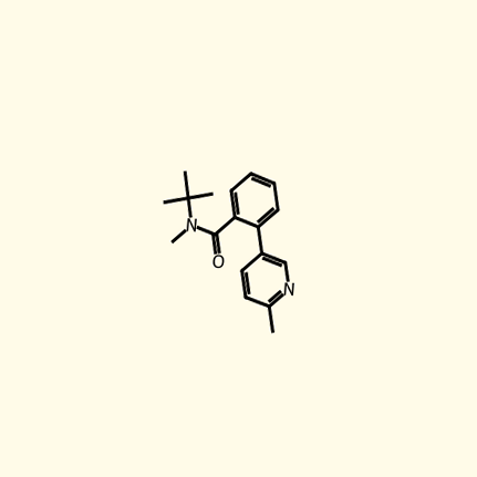 Cc1ccc(-c2ccccc2C(=O)N(C)C(C)(C)C)cn1